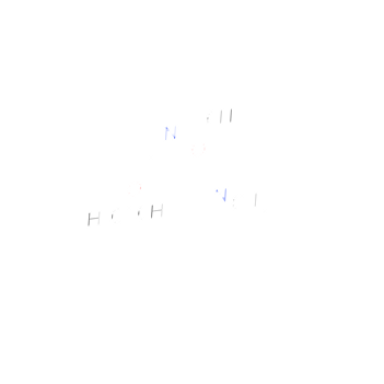 CC(C)OCC1CCCN(CC(C)OCC2CCCN(C)C2)C1